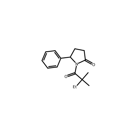 CCC(C)(C)C(=O)N1C(=O)CCC1c1ccccc1